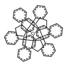 c1ccc(C(c2ccccc2)(c2ccccc2)[C]2([Cr]([C]3(C(c4ccccc4)(c4ccccc4)c4ccccc4)CCCC3)[C]3(C(c4ccccc4)(c4ccccc4)c4ccccc4)CCCC3)CCCC2)cc1